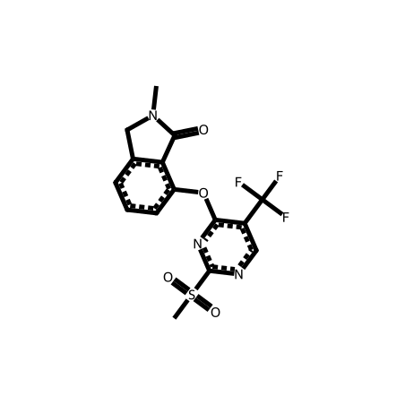 CN1Cc2cccc(Oc3nc(S(C)(=O)=O)ncc3C(F)(F)F)c2C1=O